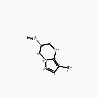 CO[C@@H]1COc2c(C(C)C)cnn2C1